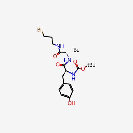 CC[C@H](C)[C@H](NC(=O)[C@H](Cc1ccc(O)cc1)NC(=O)OC(C)(C)C)C(=O)NCCCBr